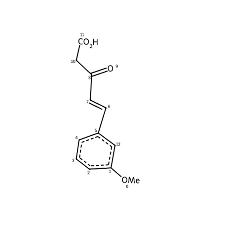 COc1cccc(/C=C/C(=O)CC(=O)O)c1